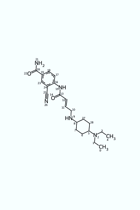 CCN(CC)C1CCC(NC/C=C/C(=O)Nc2ccc(C(N)=O)cc2C#N)CC1